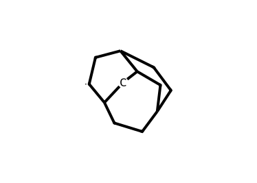 [CH]1CC2CCC3CCC1CC2C3